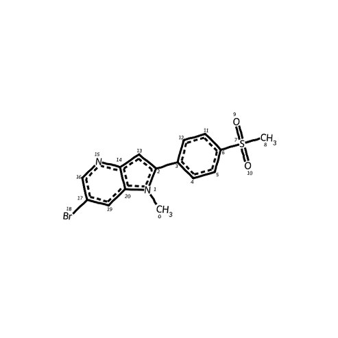 Cn1c(-c2ccc(S(C)(=O)=O)cc2)cc2ncc(Br)cc21